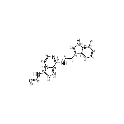 Cc1cccc2c(CCNc3nccn4c(NC=O)nnc34)c[nH]c12